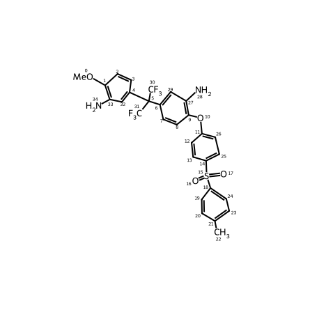 COc1ccc(C(c2ccc(Oc3ccc(S(=O)(=O)c4ccc(C)cc4)cc3)c(N)c2)(C(F)(F)F)C(F)(F)F)cc1N